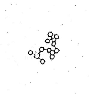 CC1=C(c2ccccc2)N=C(c2cccc(-c3ccc4c(c3)c3ccccc3c3cccc(-c5ccc6c(c5)C5=C(C=CCC5)C6(c5ccccc5)c5ccccc5)c34)c2)C=C(c2ccccc2)C1